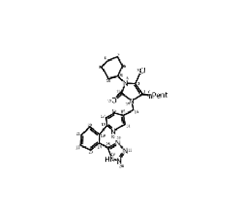 CCCCCc1c(Cl)n(C2CCCCC2)c(=O)n1Cc1ccc(-c2ccccc2-c2nnn[nH]2)nc1